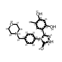 Cc1cc(-c2n[nH]c(=O)n2-c2ccc(CN3CCOCC3)cc2)c(O)cc1O